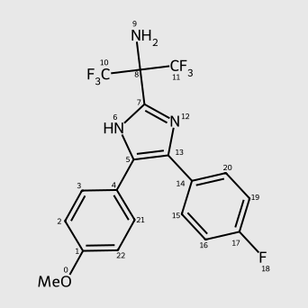 COc1ccc(-c2[nH]c(C(N)(C(F)(F)F)C(F)(F)F)nc2-c2ccc(F)cc2)cc1